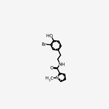 Cn1cccc1C(=O)NCCc1ccc(O)c(Br)c1